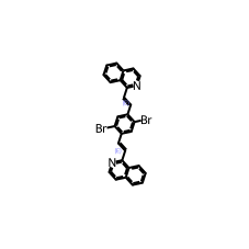 Brc1cc(/C=C/c2nccc3ccccc23)c(Br)cc1/C=C/c1nccc2ccccc12